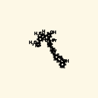 Cc1ncsc1-c1ccc([C@H](C)NC(=O)[C@@H]2C[C@@H](O)CN2C(=O)[C@@H](c2cc(N3CC4(CN(c5ccc6cc(-c7ccccc7O)nnc6c5)C4)C3)sn2)C(C)C)cc1